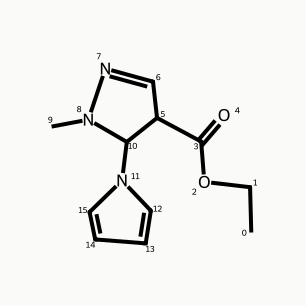 CCOC(=O)C1C=NN(C)C1n1cccc1